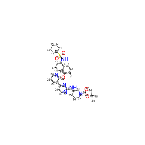 Cc1ccc2c(NS(=O)(=O)C3CCCCC3)cccc2c1Oc1ncccc1-c1ccnc(NC2CCCN(C(=O)OC(C)(C)C)C2)n1